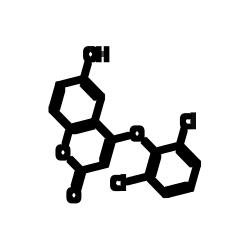 O=c1cc(Oc2c(Cl)cccc2Cl)c2cc(O)ccc2o1